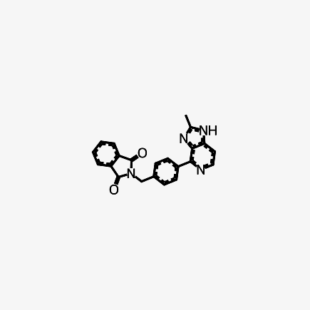 Cc1nc2c(-c3ccc(CN4C(=O)c5ccccc5C4=O)cc3)nccc2[nH]1